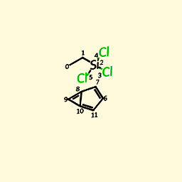 CC[Si](Cl)(Cl)Cl.c1cc2cc-2c1